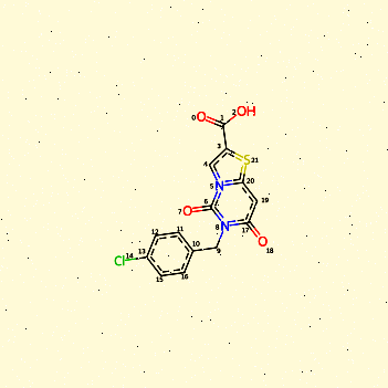 O=C(O)c1cn2c(=O)n(Cc3ccc(Cl)cc3)c(=O)cc2s1